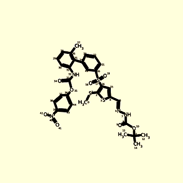 CSc1sc(C=NNC(=O)OC(C)(C)C)cc1S(=O)(=O)c1cccc(-c2c(C)cccc2NC(=O)Oc2ccc([N+](=O)[O-])cc2)c1